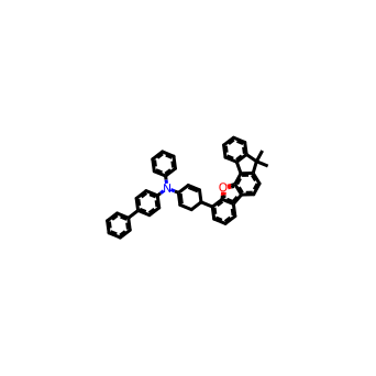 CC1(C)c2ccccc2-c2c1ccc1c2oc2c(C3C=CC(N(c4ccccc4)c4ccc(-c5ccccc5)cc4)=CC3)cccc21